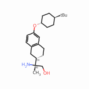 CC(C)(C)[C@H]1CC[C@H](Oc2ccc3c(c2)CC[C@H]([C@@](C)(N)CO)C3)CC1